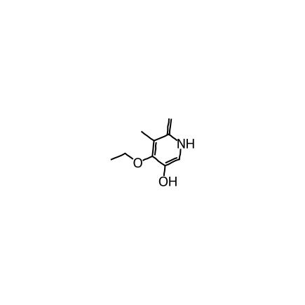 C=C1NC=C(O)C(OCC)=C1C